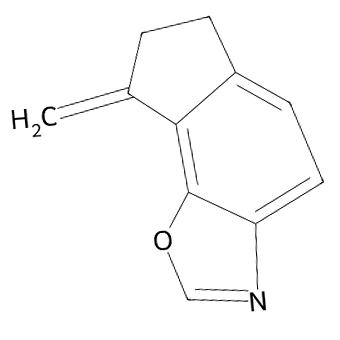 C=C1CCc2ccc3ncoc3c21